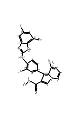 CCNC(=O)c1cn2ncnc(N)c2c1-c1ccc(Nc2nc3cc(F)cc(F)c3[nH]2)c(F)c1